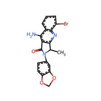 CC1c2nc3c(Br)cccc3c(N)c2C(=O)N1c1ccc2c(c1)OCO2